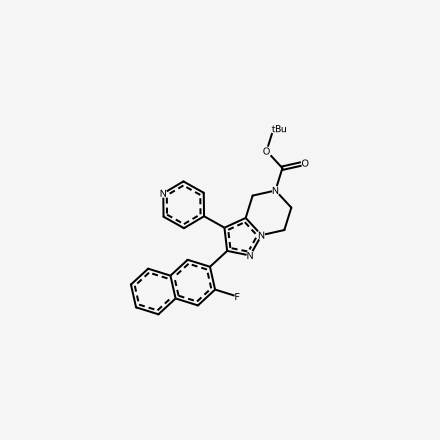 CC(C)(C)OC(=O)N1CCn2nc(-c3cc4ccccc4cc3F)c(-c3ccncc3)c2C1